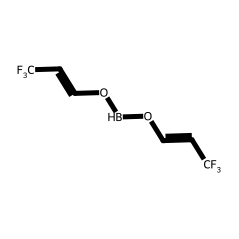 FC(F)(F)C=COBOC=CC(F)(F)F